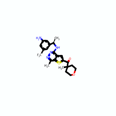 Cc1nnc(N[C@H](C)c2cc(N)cc(C(F)(F)F)c2)c2cc(C(=O)C3(C)CCOCC3)sc12